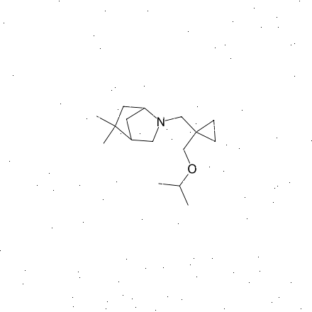 CC(C)OCC1(CN2CC3CC2CC3(C)C)CC1